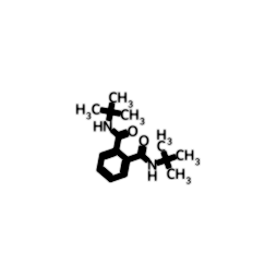 CC(C)(C)NC(=O)c1ccccc1C(=O)NC(C)(C)C